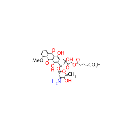 COc1cccc2c1C(=O)c1c(O)c3c(c(O)c1C2=O)C[C@@](O)(C(=O)COC(=O)CCCC(=O)O)C[C@@H]3O[C@H]1C[C@H](N)[C@H](O)[C@H](C)O1